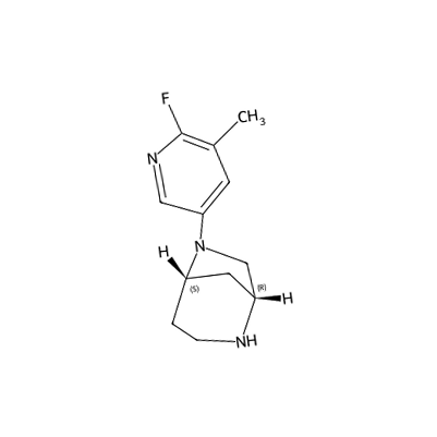 Cc1cc(N2C[C@H]3C[C@@H]2CCN3)cnc1F